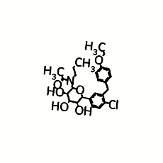 CCCN(C(C)=O)[C@H]1O[C@@H](c2ccc(Cl)c(Cc3ccc(OCC)cc3)c2)[C@H](O)[C@H](O)[C@H]1O